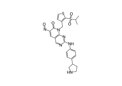 CC(C)S(=O)(=O)c1sccc1Cn1c(=O)c(N=O)cc2cnc(Nc3ccc(C4CCNC4)cc3)nc21